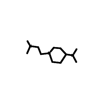 CN(C)CCN1CCC(N(C)C)CC1